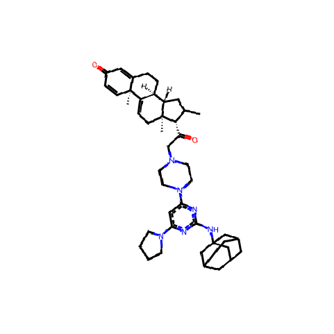 CC1C[C@H]2[C@@H]3CCC4=CC(=O)C=C[C@]4(C)C3=CC[C@]2(C)[C@H]1C(=O)CN1CCN(c2cc(N3CCCC3)nc(NC34CC5CC(CC(C5)C3)C4)n2)CC1